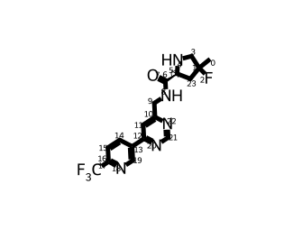 CC1(F)CN[C@H](C(=O)NCc2cc(-c3ccc(C(F)(F)F)nc3)ncn2)C1